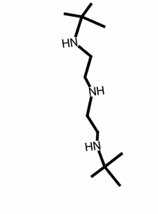 CC(C)(C)NCCNCCNC(C)(C)C